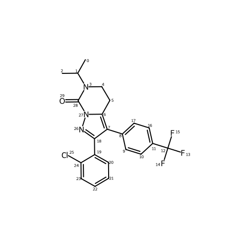 CC(C)N1CCc2c(-c3ccc(C(F)(F)F)cc3)c(-c3ccccc3Cl)nn2C1=O